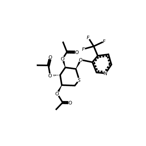 CC(=O)O[C@@H]1[C@@H](OC(C)=O)[C@@H](Oc2cnccc2C(F)(F)F)SC[C@H]1OC(C)=O